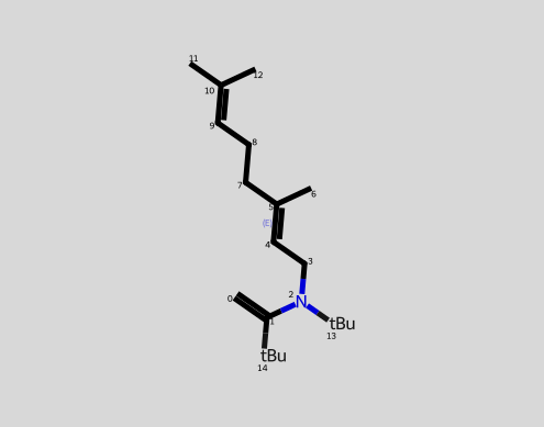 C=C(N(C/C=C(\C)CCC=C(C)C)C(C)(C)C)C(C)(C)C